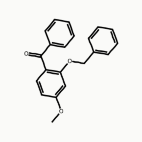 COc1ccc(C(=O)c2ccccc2)c(OCc2ccccc2)c1